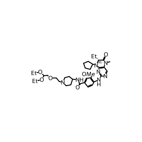 CCOC(COCCN1CCC(NC(=O)c2ccc(Nc3ncc4c(n3)N(C3CCCC3)[C@H](CC)C(=O)N4C)c(OC)c2)CC1)OCC